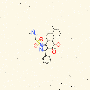 CC1CCCC2C1=CCC1c3c(c(-c4ccccc4)nn3S(=O)(=O)CCN(C)C)C(=O)C(=O)C21